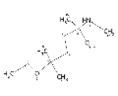 CCOC(C)(C)CCC(C)(C)NC